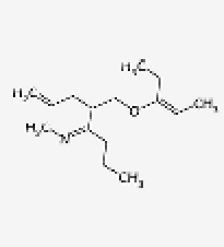 C=CCC(CO/C(=C/C)CC)/C(CCC)=N\C